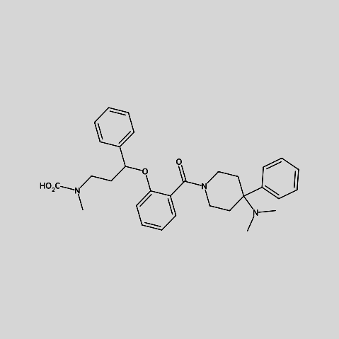 CN(CCC(Oc1ccccc1C(=O)N1CCC(c2ccccc2)(N(C)C)CC1)c1ccccc1)C(=O)O